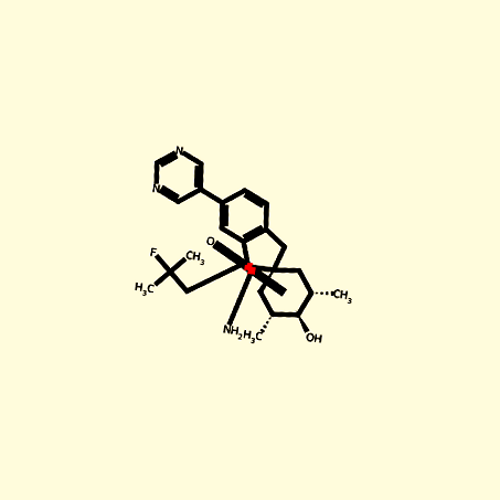 C[C@@H]1C[C@@]2(Cc3ccc(-c4cncnc4)cc3[C@]23N=C(N)N(CC(C)(C)F)C3=O)C[C@H](C)[C@H]1O